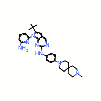 CN1CCC2(CC1)CCN(c1ccc(Nc3ncc4cc(C(C)(C)C)n(-c5cccc(N)n5)c4n3)cc1)CC2